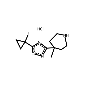 CC1(c2noc(C3(F)CC3)n2)CCNCC1.Cl